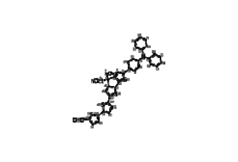 CCCCCCCCC1(CCCCCCCC)c2cc(-c3ccc(N(c4ccccc4)c4ccccc4)cc3)sc2-c2sc(-c3ccc(-c4ccc(C=O)s4)s3)cc21